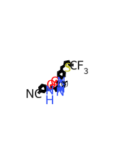 C[C@H]1Cn2ncc(C(=O)Nc3cccc(C#N)c3)c2C(=O)N1c1ccc(Cc2ccc(C(F)(F)F)s2)cc1